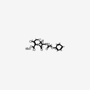 CC(C)(C)OC(=O)C1=C(Cl)CS[C@@H]2C(NC(=O)COc3ccccc3)C(=O)N12